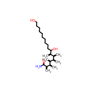 C=C(C(=C)C(=C)C(=C)C(O)CCCCCCCCCCO)C(=C)C(=C)C(N)=O